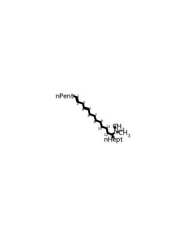 CCCCCC=CCC=CCCCCCCCC(CCCCCCC)N(C)C